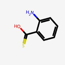 Nc1ccccc1C(O)=S